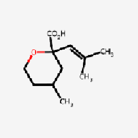 CC(C)=CC1(C(=O)O)CC(C)CCO1